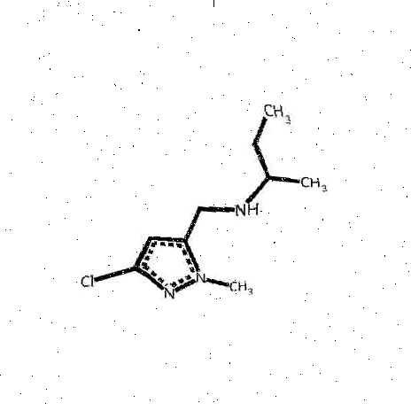 CCC(C)NCc1cc(Cl)nn1C